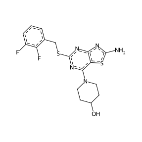 Nc1nc2nc(SCc3cccc(F)c3F)nc(N3CCC(O)CC3)c2s1